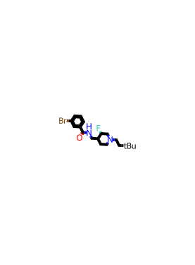 CC(C)(C)CCN1CCC(CNC(=O)c2cccc(Br)c2)C(F)C1